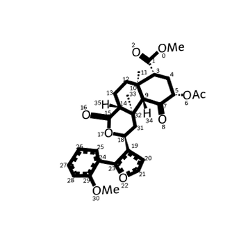 COC(=O)[C@@H]1C[C@H](OC(C)=O)C(=O)[C@H]2[C@@]1(C)CC[C@H]1C(=O)O[C@H](c3ccoc3-c3ccccc3OC)C[C@]21C